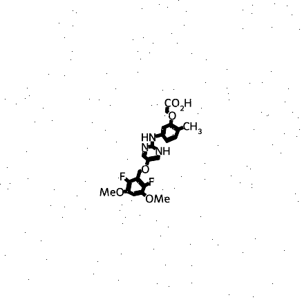 COc1cc(OC)c(F)c(COC2=CNC(Nc3ccc(C)c(OCC(=O)O)c3)N=C2)c1F